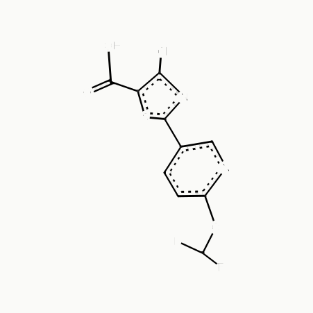 O=C(O)c1sc(-c2ccc(OC(F)F)nc2)nc1Cl